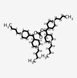 CCCCN1CCC(C(OC(=O)OC(C2CCN(CCCC)CC2)C2CCN(CCCC)CC2)C2CCN(CCCC)CC2)CC1